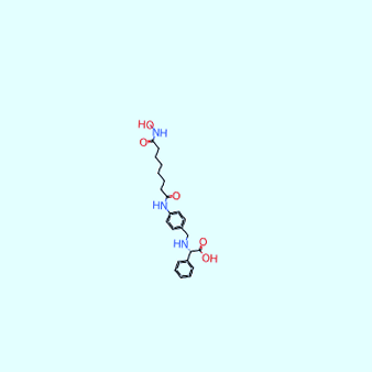 O=C(CCCCCCC(=O)Nc1ccc(CN[C@H](C(=O)O)c2ccccc2)cc1)NO